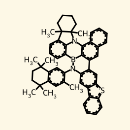 Cc1cc2c(cc1N1B3c4cccc5c4N(c4c3c(cc3ccccc43)-c3cc4sc6ccccc6c4cc31)C1(C)CCCCC51C)C(C)(C)CCC2(C)C